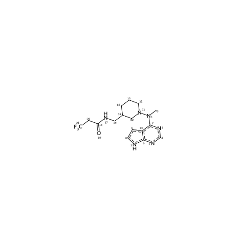 CN(c1ncnc2[nH]ccc12)N1CCCC(CNC(=O)CC(F)(F)F)C1